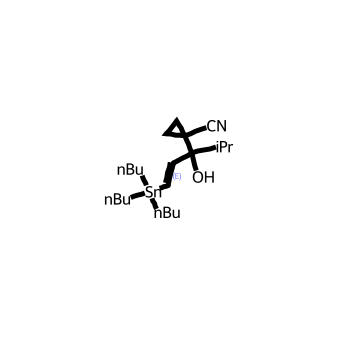 CCC[CH2][Sn](/[CH]=C/C(O)(C(C)C)C1(C#N)CC1)([CH2]CCC)[CH2]CCC